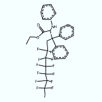 CCOC(=O)C(Nc1ccccc1)C(CC(F)(F)C(F)(F)C(F)(F)C(F)(F)C(F)(F)C(F)(F)F)(c1ccccc1)c1ccccc1